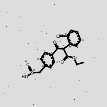 CCOC(=O)C(C(=O)c1ccc(CS(=O)O)cc1)c1ccccc1Cl